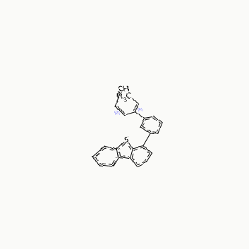 C#C/C=C\C(=C/C)c1cccc(-c2cccc3c2sc2ccccc23)c1